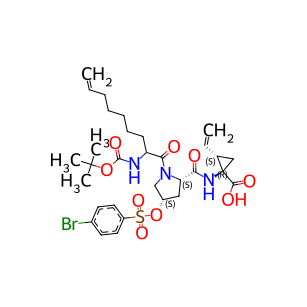 C=CCCCCCC(NC(=O)OC(C)(C)C)C(=O)N1C[C@@H](OS(=O)(=O)c2ccc(Br)cc2)C[C@H]1C(=O)N[C@]1(C(=O)O)C[C@H]1C=C